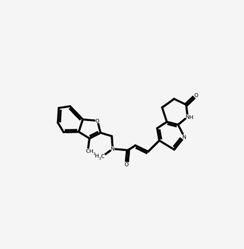 Cc1c(CN(C)C(=O)C=Cc2cnc3c(c2)CCC(=O)N3)oc2ccccc12